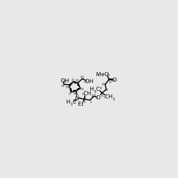 CCC(C)(CCOC(C)(C)CCC(=O)OC)N(C)c1cc(CO)cc(CO)c1